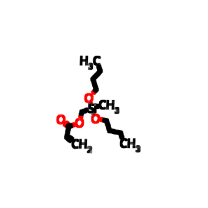 C=CC(=O)OC[Si](C)(OCCCC)OCCCC